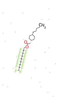 CCCCC[C@H]1CC[C@H](CC(=O)OCC(F)(F)C(F)(F)C(F)(F)C(F)(F)C(F)(F)C(F)(F)C(F)(F)C(F)F)CC1